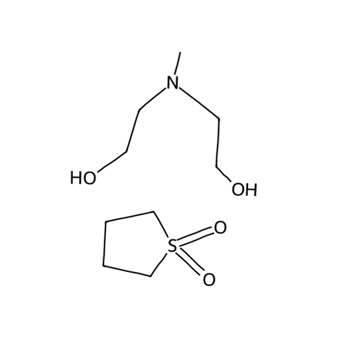 CN(CCO)CCO.O=S1(=O)CCCC1